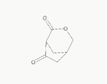 O=C1CC2COC(=O)C1C2